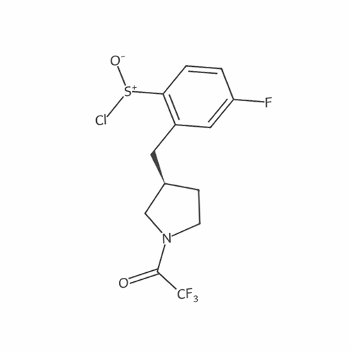 O=C(N1CC[C@H](Cc2cc(F)ccc2[S+]([O-])Cl)C1)C(F)(F)F